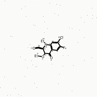 CCOC1C(=O)c2cc(F)c(Cl)cc2N(CC)C1=C=O